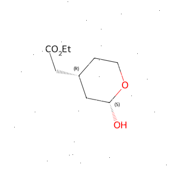 CCOC(=O)C[C@@H]1CCO[C@H](O)C1